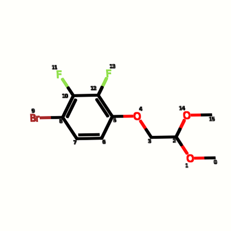 COC(COc1ccc(Br)c(F)c1F)OC